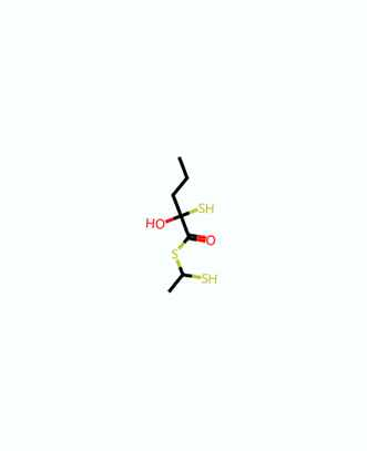 CCCC(O)(S)C(=O)SC(C)S